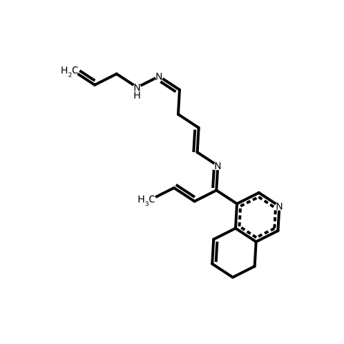 C=CCN/N=C\C/C=C/N=C(\C=C\C)c1cncc2c1C=CCC2